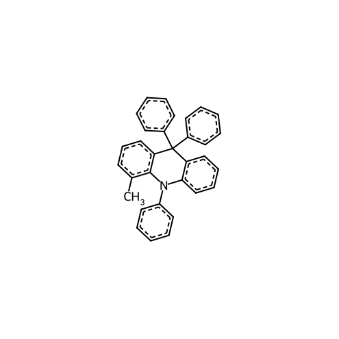 Cc1cccc2c1N(c1ccccc1)c1ccccc1C2(c1ccccc1)c1ccccc1